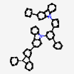 c1ccc(-c2cc(-c3cccc(-n4c5ccccc5c5cc(-c6ccccc6)ccc54)c3)cc(-n3c4ccccc4c4cc(-c5ccc6c(c5)-c5ccccc5[C@H]6c5ccccc5)ccc43)c2)cc1